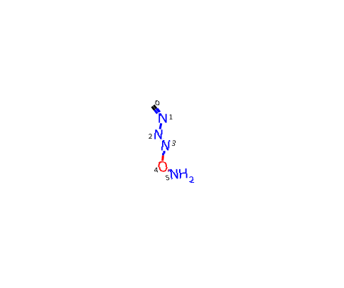 C=NN=NON